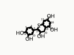 OC1=C(c2ccc(O)c(O)c2)Sc2cc(O)cc(O)c2C1